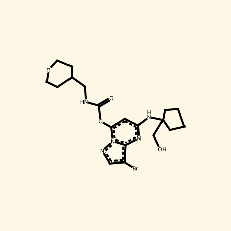 O=C(NCC1CCOCC1)Oc1cc(NC2(CO)CCCC2)nc2c(Br)cnn12